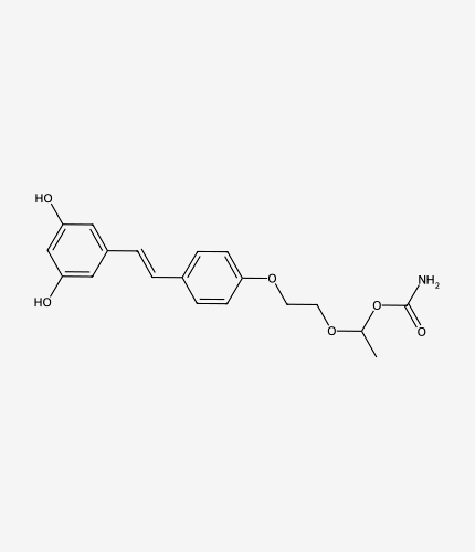 CC(OCCOc1ccc(C=Cc2cc(O)cc(O)c2)cc1)OC(N)=O